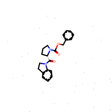 O=C([C@@H]1CCCN1C(=O)OCc1ccccc1)N1CCc2ccccc21